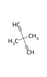 C#CC(C)(C)C#C